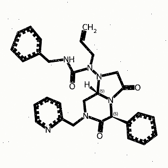 C=CCN(C(=O)NCc1ccccc1)N1CC(=O)N2[C@@H](c3ccccc3)C(=O)N(Cc3ccccn3)C[C@@H]21